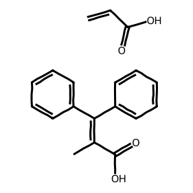 C=CC(=O)O.CC(C(=O)O)=C(c1ccccc1)c1ccccc1